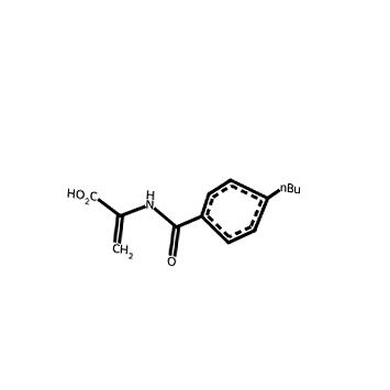 C=C(NC(=O)c1ccc(CCCC)cc1)C(=O)O